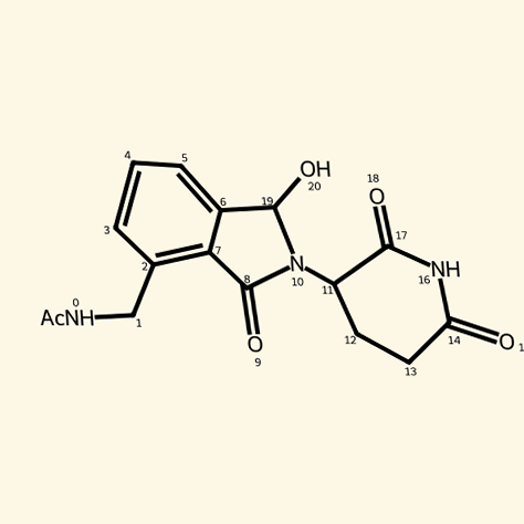 CC(=O)NCc1cccc2c1C(=O)N(C1CCC(=O)NC1=O)C2O